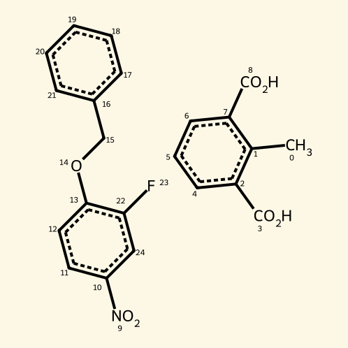 Cc1c(C(=O)O)cccc1C(=O)O.O=[N+]([O-])c1ccc(OCc2ccccc2)c(F)c1